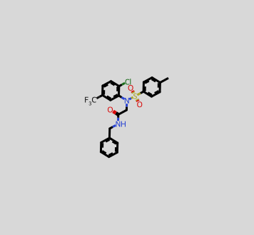 Cc1ccc(S(=O)(=O)N(CC(=O)NCc2ccccc2)c2cc(C(F)(F)F)ccc2Cl)cc1